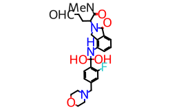 CNC(=O)C(CCC=O)N1Cc2c(NC(O)(O)c3ccc(CN4CCOCC4)cc3F)cccc2C1=O